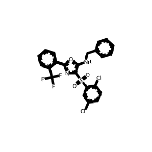 O=S(=O)(c1cc(Cl)ccc1Cl)c1nc(-c2ccccc2C(F)(F)F)oc1NCc1ccccc1